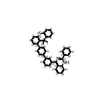 CC1(C)c2ccccc2Sc2cccc(-c3ccc(-c4cccc(C5=C6C=CC=CC6NC(c6ccccc6)=N5)c4)cc3)c21